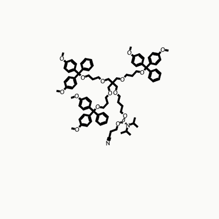 COc1ccc(C(OCCCOCC(COCCCCOP(OCCC#N)N(C(C)C)C(C)C)(COCCCOC(c2ccccc2)(c2ccc(OC)cc2)c2ccc(OC)cc2)COCCCOC(c2ccccc2)(c2ccc(OC)cc2)c2ccc(OC)cc2)(c2ccccc2)c2ccc(OC)cc2)cc1